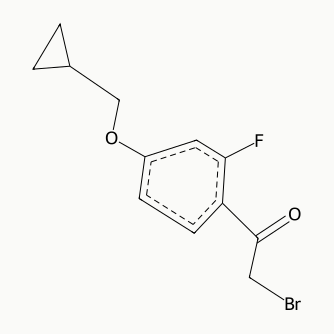 O=C(CBr)c1ccc(OCC2CC2)cc1F